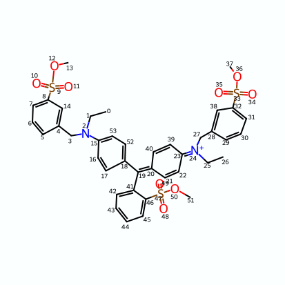 CCN(Cc1cccc(S(=O)(=O)OC)c1)c1ccc(C(=C2C=CC(=[N+](CC)Cc3cccc(S(=O)(=O)OC)c3)C=C2)c2ccccc2S(=O)(=O)OC)cc1